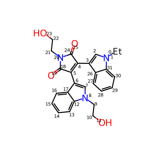 CCn1cc(C2=C(c3cn(CCO)c4ccccc34)C(=O)N(CCO)C2=O)c2ccccc21